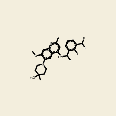 COc1cc2nc(C)cc(NC(C)c3cccc(C(F)F)c3F)c2cc1N1CCC(C)(O)CC1